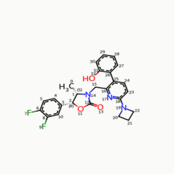 C[C@H]1[C@@H](c2ccc(F)c(F)c2)OC(=O)N1Cc1nc(N2CCC2)ccc1-c1ccccc1O